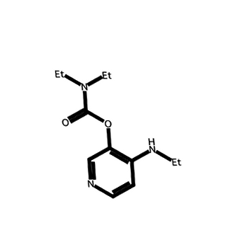 CCNc1ccncc1OC(=O)N(CC)CC